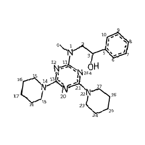 CN(CC(O)c1ccccc1)c1nc(N2CCCCC2)nc(N2CCCCC2)n1